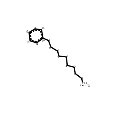 CCCCCCCCCCc1cc[c]cc1